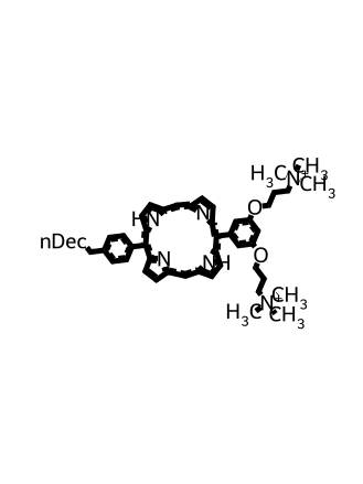 CCCCCCCCCCCc1ccc(-c2c3nc(cc4ccc([nH]4)c(-c4cc(OCCC[N+](C)(C)C)cc(OCCC[N+](C)(C)C)c4)c4nc(cc5ccc2[nH]5)C=C4)C=C3)cc1